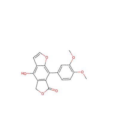 COc1ccc(-c2c3c(c(O)c4ccoc24)COC3=O)cc1OC